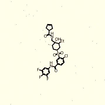 CCC1C[C@@H](S(=O)(=O)c2cc(C(=O)Nc3cc(F)c(F)c(F)c3)ccc2Cl)C[C@H](C)[C@@]1(O)CNC(=O)C1CC=CC1